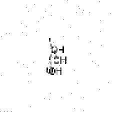 C=C(C)C(C)(O)C#CC#CC(C)(O)C(=C)C.CCCCCCCCCCCCC#CC#CCCCCCCCCC(=O)O